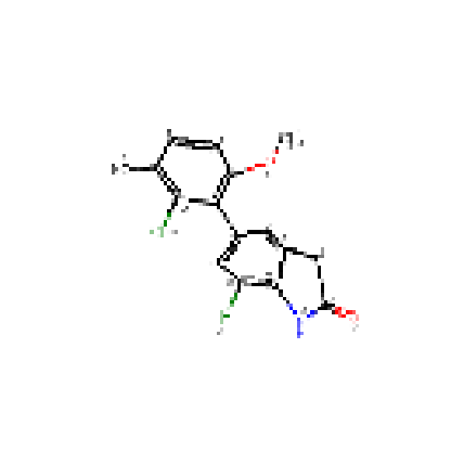 N#Cc1ccc(OC(F)(F)F)c(-c2cc(F)c3c(c2)CC(=O)N3)c1Cl